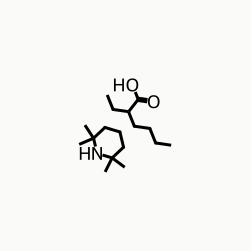 CC1(C)CCCC(C)(C)N1.CCCCC(CC)C(=O)O